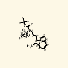 CC(C)(C)OC(=O)N(CCCC[N+]12C=CN=C1C=CC=C2CN)S(=O)(=O)C(F)(F)F